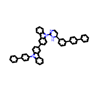 C1=CC(c2cccc(-c3ccc(-c4ccccc4)cc3)c2)NC(n2c3ccccc3c3cc(-c4ccc5c(c4)c4ccccc4n5-c4ccc(-c5ccccc5)cc4)ccc32)=N1